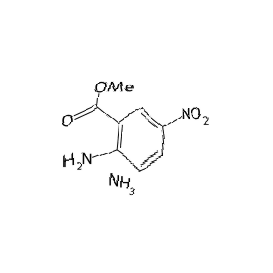 COC(=O)c1cc([N+](=O)[O-])ccc1N.N